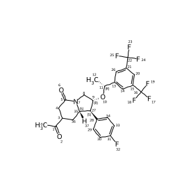 CC(=O)C1CC(=O)N2C[C@H](O[C@H](C)c3cc(C(F)(F)F)cc(C(F)(F)F)c3)[C@@H](c3ccc(F)cc3)[C@@H]2C1